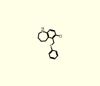 Clc1ccc2c(c1CSc1ccccc1)CCCCN2